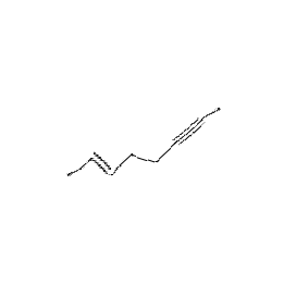 CC#CCCC=CC